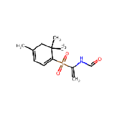 C=C(NC=O)S(=O)(=O)C1=CC=C(C)CC1(C)C